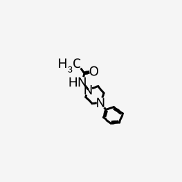 CC(=O)NN1CCN(c2ccccc2)CC1